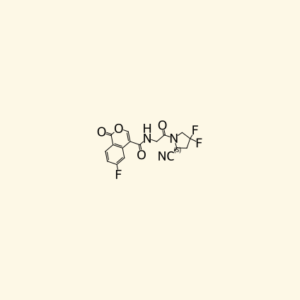 N#C[C@@H]1CC(F)(F)CN1C(=O)CNC(=O)c1coc(=O)c2ccc(F)cc12